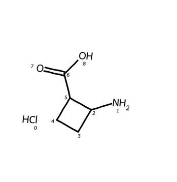 Cl.NC1CCC1C(=O)O